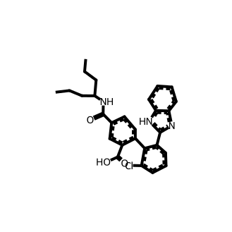 CCCC(CCC)NC(=O)c1ccc(-c2c(Cl)cccc2-c2nc3ccccc3[nH]2)c(C(=O)O)c1